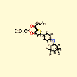 CCOC(=O)COc1cc(-c2ccc(NC3CC(C)(C)CC(C)(C)C3)cc2)sc1C(=O)OC